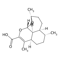 CC1=C(C(=O)O)O[C@@H]2O[C@]3(C)CC[C@H]4[C@H](C)CC[C@@H]1[C@@]24OO3